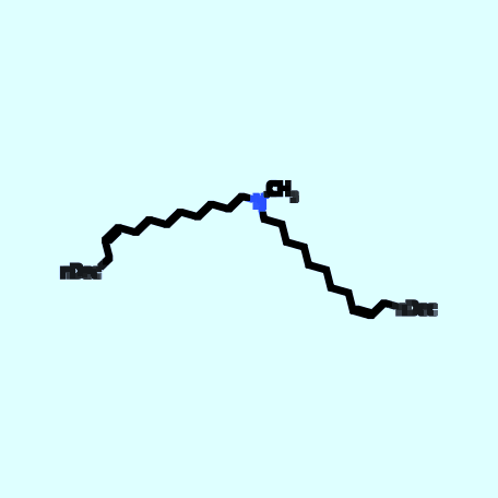 CCCCCCCCCCC/C=C\CCCCCCCCN(C)CCCCCCCC/C=C\CCCCCCCCCCC